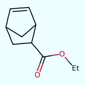 CCOC(=O)C1CC2C=CC1C2